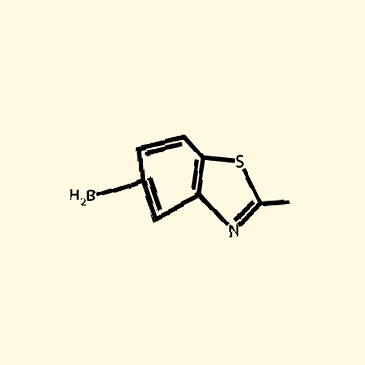 Bc1ccc2sc(C)nc2c1